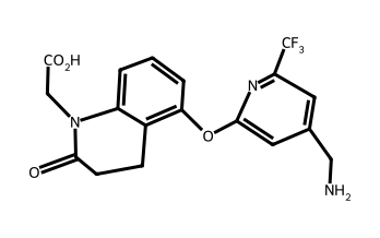 NCc1cc(Oc2cccc3c2CCC(=O)N3CC(=O)O)nc(C(F)(F)F)c1